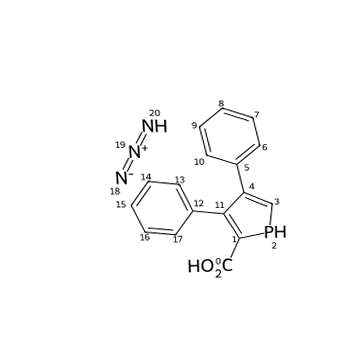 O=C(O)c1[pH]cc(-c2ccccc2)c1-c1ccccc1.[N-]=[N+]=N